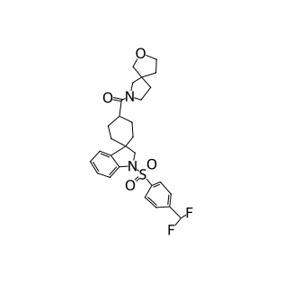 O=C(C1CCC2(CC1)CN(S(=O)(=O)c1ccc(C(F)F)cc1)c1ccccc12)N1CCC2(CCOC2)C1